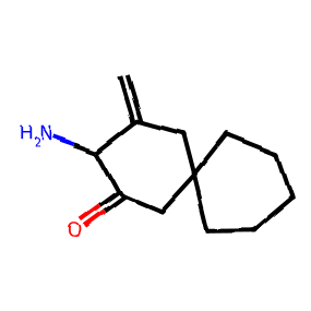 C=C1CC2(CCCCC2)CC(=O)C1N